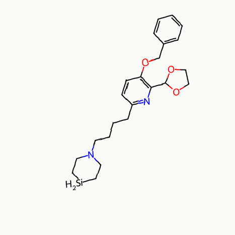 c1ccc(COc2ccc(CCCCN3CC[SiH2]CC3)nc2C2OCCO2)cc1